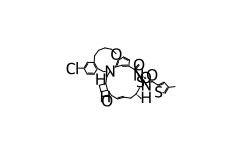 CO[C@H]1/C=C/C[C@H](C)C[S@@](=O)(NC(=O)c2cc(C)cs2)=NC(=O)c2ccc3c(c2)N(Cc2ccc(Cl)cc2CCCCO3)C[C@@H]2CC[C@H]21